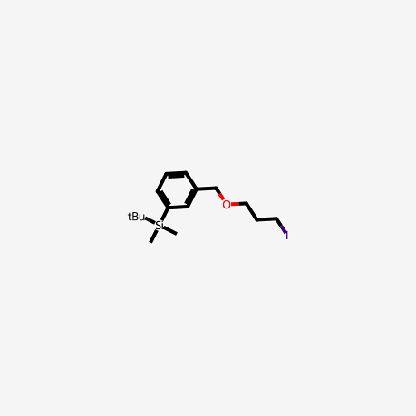 CC(C)(C)[Si](C)(C)c1cccc(COCCCI)c1